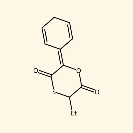 CCC1SC(=O)C(=C2C=CCC=C2)OC1=O